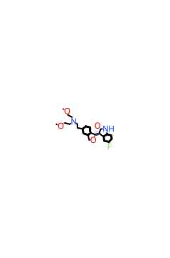 COCCN(CCOC)CCc1ccc2c(c1)CO/C2=C1/C(=O)Nc2ccc(F)cc21